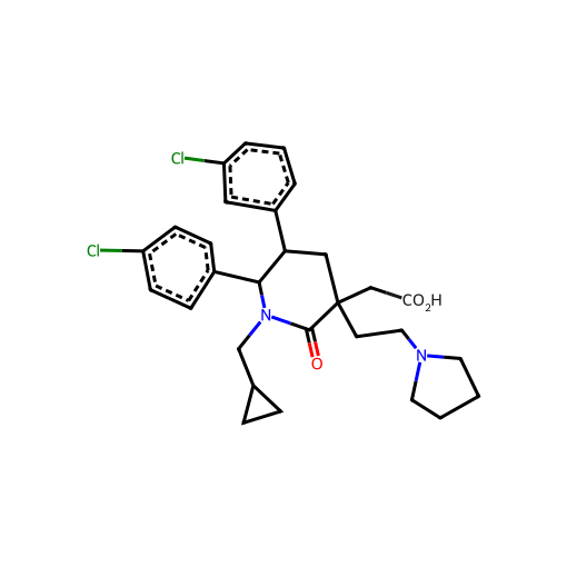 O=C(O)CC1(CCN2CCCC2)CC(c2cccc(Cl)c2)C(c2ccc(Cl)cc2)N(CC2CC2)C1=O